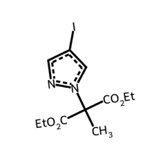 CCOC(=O)C(C)(C(=O)OCC)n1cc(I)cn1